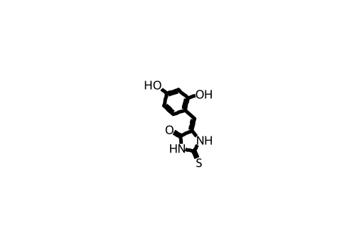 O=C1NC(=S)N/C1=C/c1ccc(O)cc1O